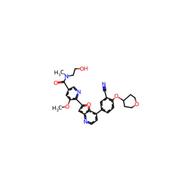 COc1cc(C(=O)N(C)CCO)cnc1-c1cc2nccc(-c3ccc(OC4CCOCC4)c(C#N)c3)c2o1